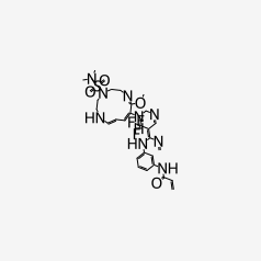 C=CC(=O)Nc1cccc(N/C(N=C)=C(/C=N\CNC2=C/C=C/NCCN(S(=O)(=O)N(C)C)CC/N=C\2OC)C(F)(F)F)c1